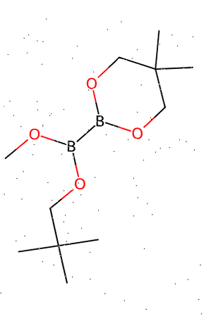 COB(OCC(C)(C)C)B1OCC(C)(C)CO1